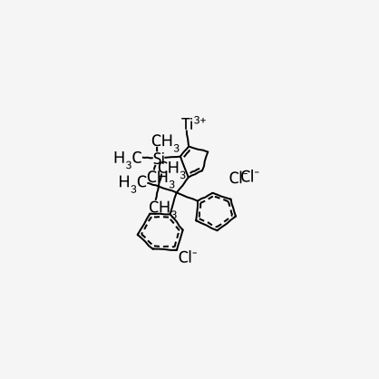 CC(C)(C)C(C1=CC[C]([Ti+3])=C1[Si](C)(C)C)(c1ccccc1)c1ccccc1.[Cl-].[Cl-].[Cl-]